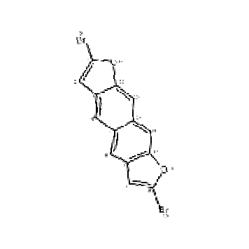 Brc1cc2cc3cc4cc(Br)oc4cc3cc2o1